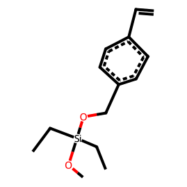 C=Cc1ccc(CO[Si](CC)(CC)OC)cc1